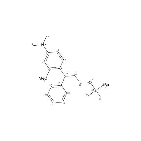 COc1cc(N(C)C)ccc1C(CCO[Si](C)(C)C(C)(C)C)c1ccccc1